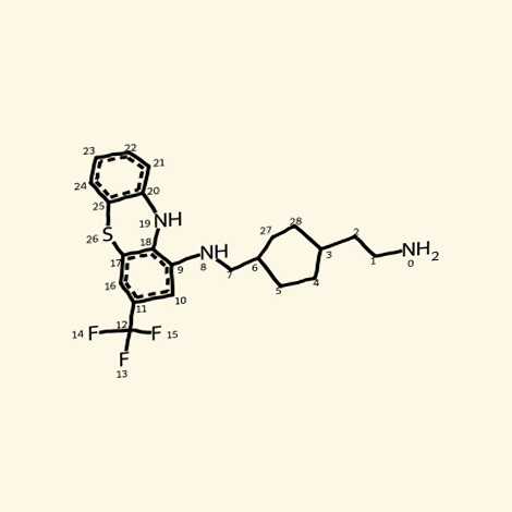 NCCC1CCC(CNc2cc(C(F)(F)F)cc3c2Nc2ccccc2S3)CC1